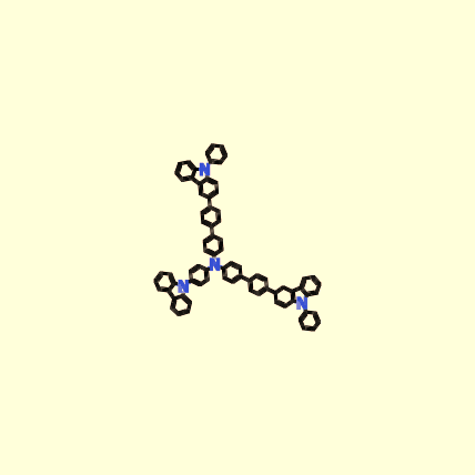 C1=CC(c2ccc(-c3ccc(N(c4ccc(-c5ccc(-c6ccc7c(c6)c6ccccc6n7-c6ccccc6)cc5)cc4)c4ccc(-n5c6ccccc6c6ccccc65)cc4)cc3)cc2)Cc2c1n(-c1ccccc1)c1ccccc21